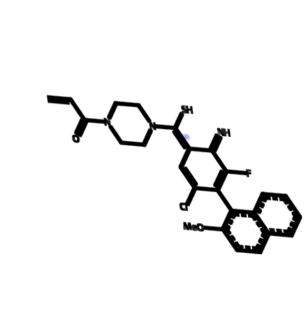 C=CC(=O)N1CCN(/C(S)=C2\C=C(Cl)C(c3c(OC)ccc4ccccc34)=C(F)C2=N)CC1